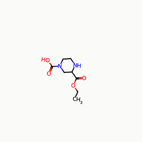 CCOC(=O)C1CN(C(=O)O)CCN1